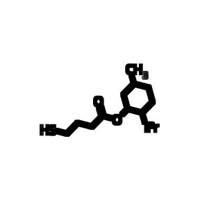 CC1CCC(C(C)C)C(OC(=O)CCCS)C1